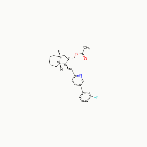 CC(=O)OC[C@H]1C[C@H]2CCCC[C@H]2[C@@H]1C=Cc1ccc(-c2cccc(F)c2)cn1